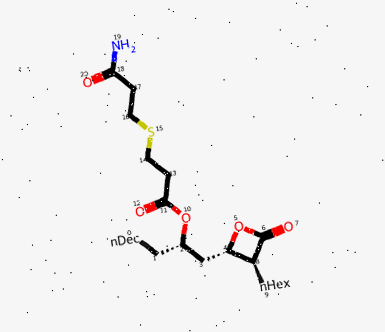 CCCCCCCCCCC[C@@H](C[C@@H]1OC(=O)[C@H]1CCCCCC)OC(=O)CCSCCC(N)=O